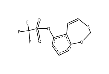 O=S(=O)(Oc1cccc2c1C=CSCO2)C(F)(F)F